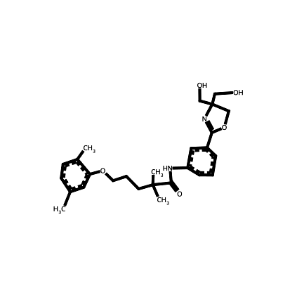 Cc1ccc(C)c(OCCCC(C)(C)C(=O)Nc2cccc(C3=NC(CO)(CO)CO3)c2)c1